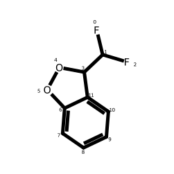 FC(F)C1OOc2ccccc21